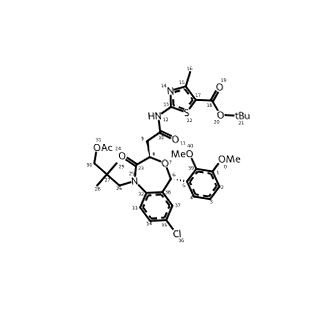 COc1cccc([C@H]2O[C@H](CC(=O)Nc3nc(C)c(C(=O)OC(C)(C)C)s3)C(=O)N(CC(C)(C)COC(C)=O)c3ccc(Cl)cc32)c1OC